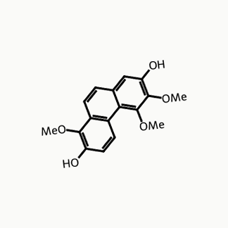 COc1c(O)cc2ccc3c(OC)c(O)ccc3c2c1OC